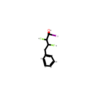 O=C(I)C(F)C(F)Cc1ccccc1